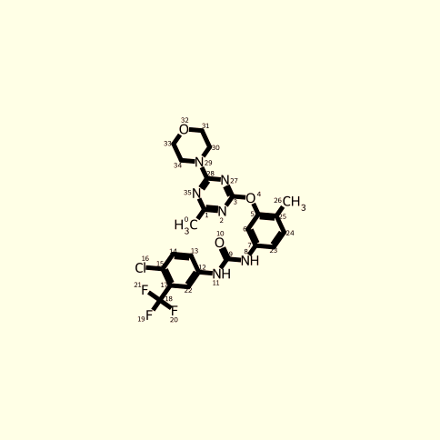 Cc1nc(Oc2cc(NC(=O)Nc3ccc(Cl)c(C(F)(F)F)c3)ccc2C)nc(N2CCOCC2)n1